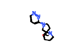 c1cnnc(N2CCC3(CC4CCN3CC4)C2)c1